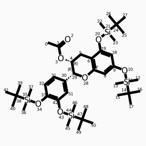 CC(=O)O[C@@H]1Cc2c(cc(O[Si](C)(C)C(C)(C)C)cc2O[Si](C)(C)C(C)(C)C)O[C@@H]1c1ccc(O[Si](C)(C)C(C)(C)C)c(O[Si](C)(C)C(C)(C)C)c1